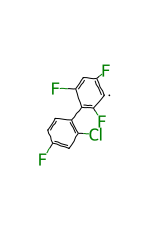 Fc1[c]c(F)c(-c2ccc(F)cc2Cl)c(F)c1